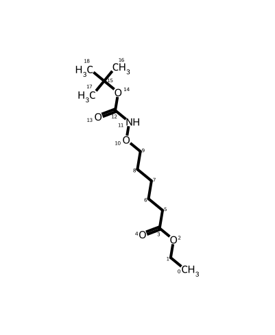 CCOC(=O)CCCCCONC(=O)OC(C)(C)C